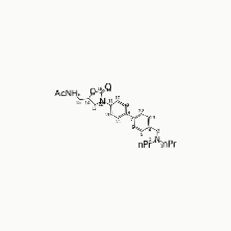 CCCN(CCC)Cc1ccc(-c2ccc(N3CC(CNC(C)=O)OC3=O)cc2)cc1